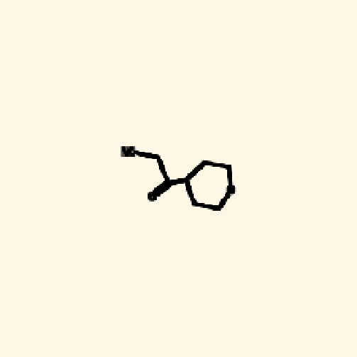 N#CCC(=O)C1CCOCC1